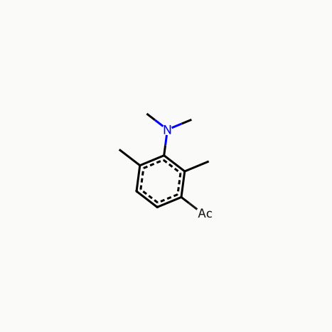 CC(=O)c1ccc(C)c(N(C)C)c1C